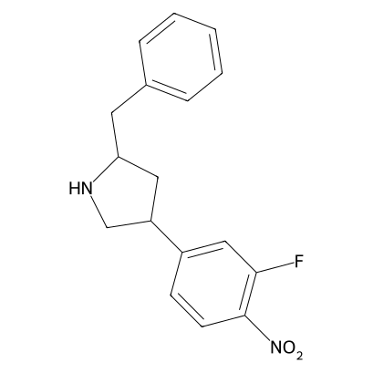 O=[N+]([O-])c1ccc(C2CNC(Cc3ccccc3)C2)cc1F